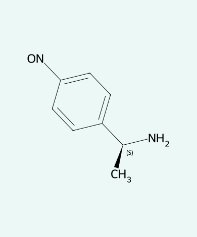 C[C@H](N)c1ccc(N=O)cc1